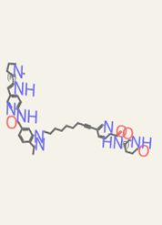 Cc1nn(CCCCCCCC#Cc2ccc(C(=O)N[C@H]3CCC(=O)NC3=O)nc2)c2cc(C(=O)Nc3cc4[nH]c([C@H]5CCCN5C)cc4cn3)ccc12